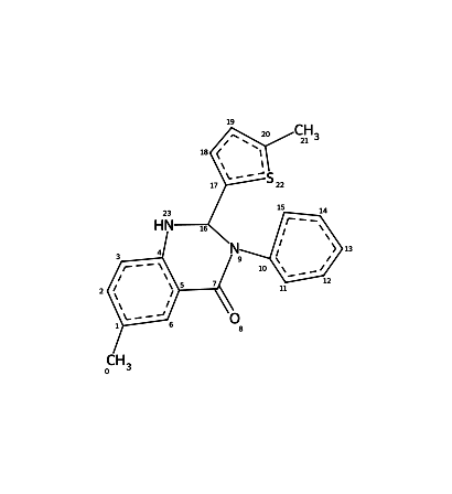 Cc1ccc2c(c1)C(=O)N(c1ccccc1)C(c1ccc(C)s1)N2